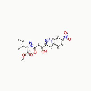 CCC(C)[C@H](NC(=O)CC(O)[C@@H](N)Cc1ccc([N+](=O)[O-])cc1)C(=O)OC